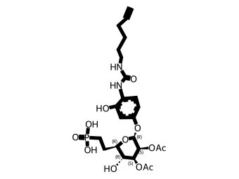 C#CCCCCNC(=O)Nc1ccc(O[C@H]2O[C@H](CCP(=O)(O)O)[C@@H](O)[C@H](OC(C)=O)[C@@H]2OC(C)=O)cc1O